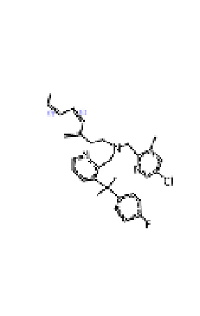 C=C(/C=C\C=C/C)CCN(Cc1ncc(Cl)cc1C)Cc1ncccc1C(C)(C)c1ccc(F)cc1